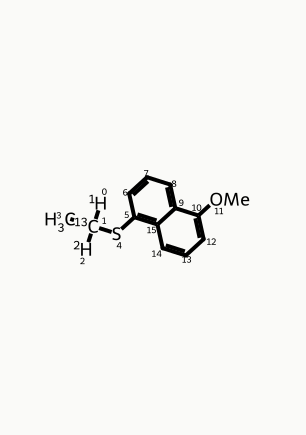 [1H][13C]([2H])(C)Sc1cccc2c(OC)cccc12